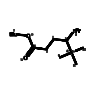 CCCC(CCC(=O)OC(C)(C)C)[N+](C)(C)C